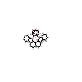 c1ccc(-n2c3ccccc3c3ccc4ccc5c6ccccc6n(-c6ccccn6)c5c4c32)cc1